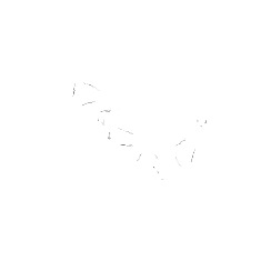 COc1ccc2c(c1)C(=CC(=O)c1ccc(NC(=O)c3ccc(Cl)cc3Cl)cc1)NC(C)(C)C2